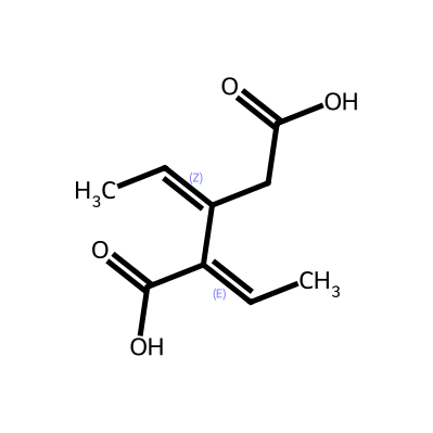 C/C=C(CC(=O)O)\C(=C/C)C(=O)O